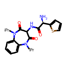 CC(C)N1C(=O)C(NC(=O)[C@@H](N)c2cccs2)C(=O)N(C(C)C)c2ccccc21